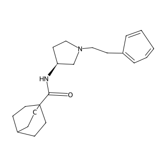 O=C(N[C@H]1CCN(CCc2ccccc2)C1)C12CCC(CC1)CC2